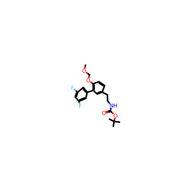 COCOc1ccc(CCNC(=O)OC(C)(C)C)cc1-c1cc(F)cc(F)c1